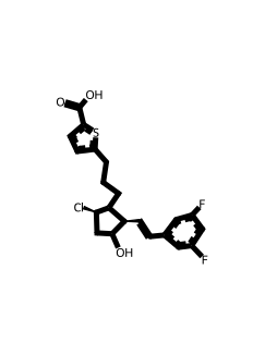 O=C(O)c1ccc(CCCC2[C@@H](C=Cc3cc(F)cc(F)c3)C(O)C[C@H]2Cl)s1